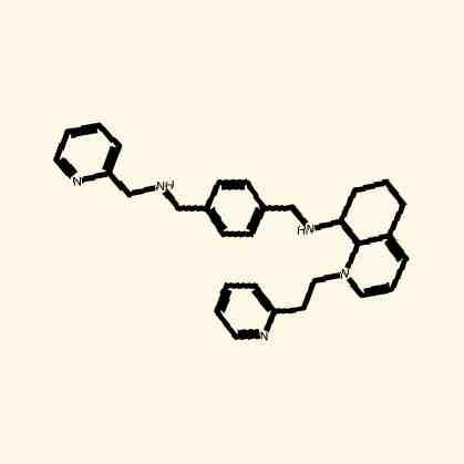 C1=CN(CCc2ccccn2)C2C(=C1)CCCC2NCc1ccc(CNCc2ccccn2)cc1